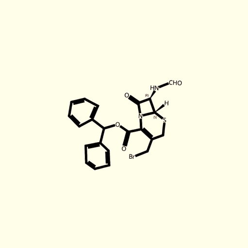 O=CN[C@@H]1C(=O)N2C(C(=O)OC(c3ccccc3)c3ccccc3)=C(CBr)CS[C@@H]12